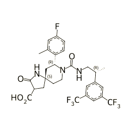 Cc1cc(F)ccc1[C@H]1C[C@@]2(CCN1C(=O)NC[C@H](C)c1cc(C(F)(F)F)cc(C(F)(F)F)c1)CC(C(=O)O)C(=O)N2